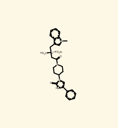 CCOC(=O)[C@@](CC(=O)N1CCC(n2cc(-c3ccccc3)[nH]c2=O)CC1)(Cc1cn(C)c2ccccc12)C(=O)O